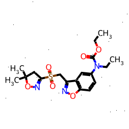 CCOC(=O)N(CC)c1ccc2onc(CS(=O)(=O)C3=NOC(C)(C)C3)c2c1